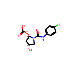 O=C(O)O[C@@H]1C[C@@H](O)CN1C(=O)Nc1ccc(Cl)cc1